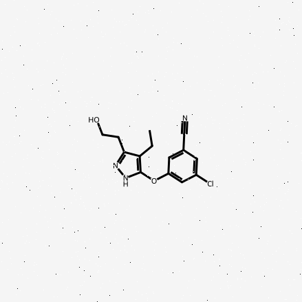 CCc1c(CCO)n[nH]c1Oc1cc(Cl)cc(C#N)c1